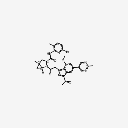 COc1cc(-c2cnc(C)nc2)cc2c(C(C)=O)nn(CC(=O)N3[C@H](C(=O)Nc4nc(Br)ccc4C)C[C@@]4(C)C[C@@H]34)c12